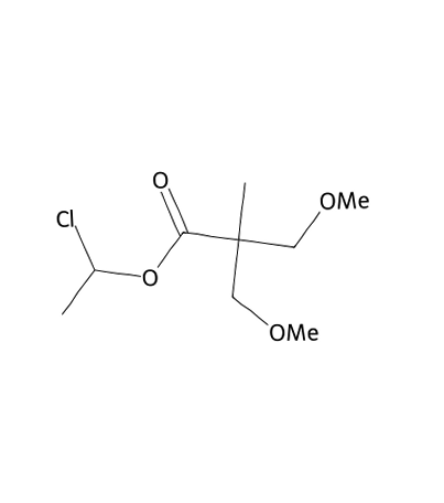 COCC(C)(COC)C(=O)OC(C)Cl